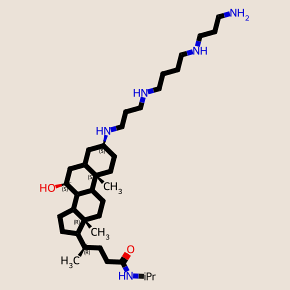 CC(C)NC(=O)CC[C@@H](C)C1CCC2C3C(CC[C@@]21C)[C@@]1(C)CC[C@H](NCCCNCCCCNCCCN)CC1C[C@@H]3O